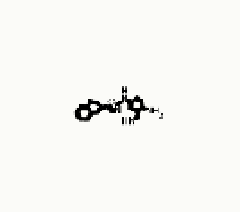 N=Cc1cc(Nc2ncc(-c3ccc4ccccc4c3)o2)ccc1N